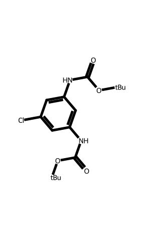 CC(C)(C)OC(=O)Nc1cc(Cl)cc(NC(=O)OC(C)(C)C)c1